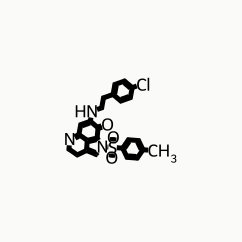 Cc1ccc(S(=O)(=O)n2cc3c4c2C(=O)C(NCCc2ccc(Cl)cc2)=CC4=NCC3)cc1